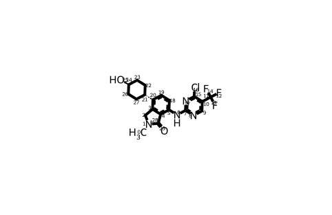 CN1Cc2c(c(Nc3ncc(C(F)(F)F)c(Cl)n3)ccc2[C@H]2CC[C@H](O)CC2)C1=O